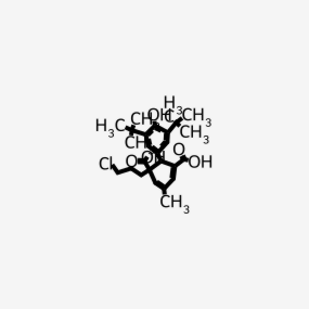 CC1=CC(CCCCl)(C(=O)O)C(c2cc(C(C)(C)C)c(O)c(C(C)(C)C)c2)C(C(=O)O)=C1